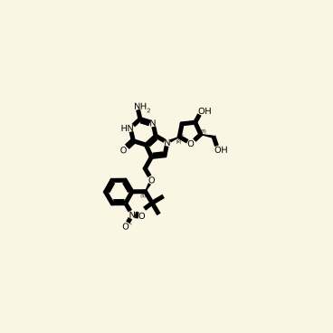 CC(C)(C)[C@H](OCc1cn([C@H]2CC(O)[C@@H](CO)O2)c2nc(N)[nH]c(=O)c12)c1ccccc1[N+](=O)[O-]